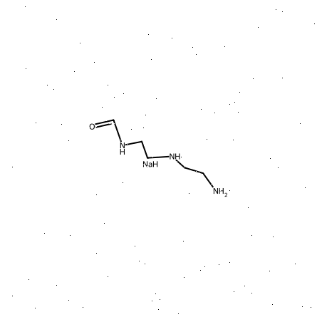 NCCNCCNC=O.[NaH]